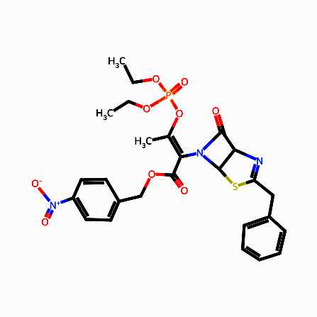 CCOP(=O)(OCC)OC(C)=C(C(=O)OCc1ccc([N+](=O)[O-])cc1)N1C(=O)C2N=C(Cc3ccccc3)SC21